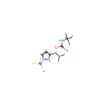 CC(C)[C@@H](OC(=O)NC(C)(C)C)c1ccn(C(F)F)n1